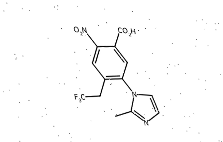 Cc1nccn1-c1cc(C(=O)O)c([N+](=O)[O-])cc1CC(F)(F)F